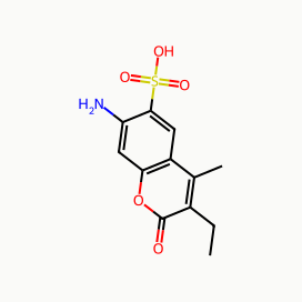 CCc1c(C)c2cc(S(=O)(=O)O)c(N)cc2oc1=O